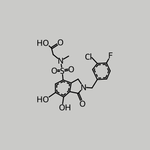 CN(CC(=O)O)S(=O)(=O)c1cc(O)c(O)c2c1CN(Cc1ccc(F)c(Cl)c1)C2=O